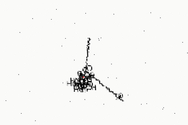 CCCCCCCCCCCCCCCC(=O)O[C@@H](COP(=O)(O)OC1C(O)[C@H](OP(=O)(O)O)C(OP(=O)(O)O)[C@H](OP(=O)(O)O)[C@@H]1O)CC(=O)OCCCCCCCCCCCCCCSC(=O)CCC